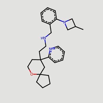 CC1CN(c2ccccc2CNCCC2(c3ccccn3)CCOC3(CCCC3)C2)C1